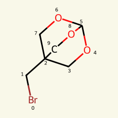 BrCC12COC(OC1)OC2